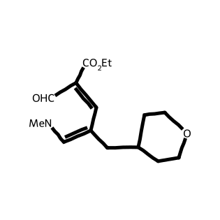 CCOC(=O)/C(C=O)=C/C(=C\NC)CC1CCOCC1